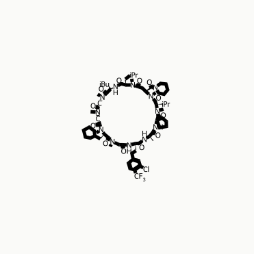 CC[C@H](C)[C@@H]1NC(=O)[C@H](CC(C)C)N(C)C(=O)C[C@@H](C(=O)N2CCCCC2)N(C)C(=O)[C@H](C(C)C)N(C)C(=O)C2(CCCC2)NC(=O)[C@H](C)NC(=O)[C@H](CCc2ccc(C(F)(F)F)c(Cl)c2)NC(=O)CN(C)C(=O)[C@H](CC2CCCCC2)N(C)C(=O)CN(C)C(=O)CN(C)C1=O